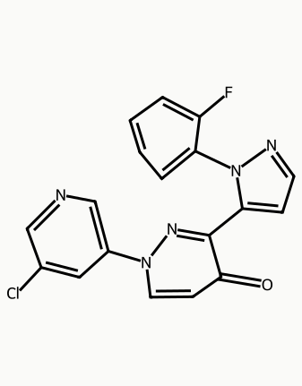 O=c1ccn(-c2cncc(Cl)c2)nc1-c1ccnn1-c1ccccc1F